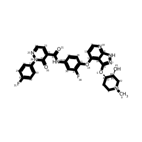 CN1CC[C@H](Oc2n[nH]c3nccc(Oc4ccc(NC(=O)c5ccnn(-c6ccc(F)cc6)c5=O)cc4F)c23)[C@H](O)C1